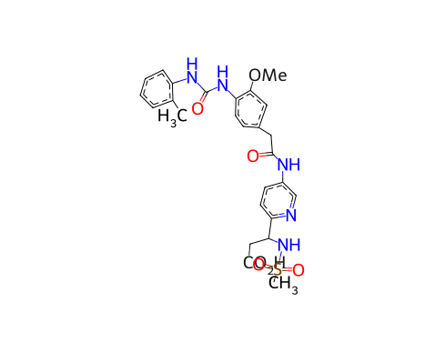 COc1cc(CC(=O)Nc2ccc(C(CC(=O)O)NS(C)(=O)=O)nc2)ccc1NC(=O)Nc1ccccc1C